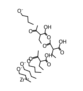 CCC(C(C)=O)C(=O)O.CCC(C(C)=O)C(=O)O.CCC(C(C)=O)C(=O)O.CCCC[O-].CCCC[O-].CCCC[O-].CCCC[O-].[Zr+4]